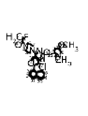 C=C(F)C(=O)N1CCN(c2nc(OC[C@H]3C[C@@H](OC)CN3C)nc3c2COC(c2cccc4cccc(Cl)c24)C3)CC1